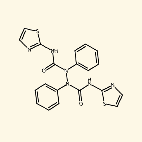 O=C(Nc1nccs1)N(c1ccccc1)N(C(=O)Nc1nccs1)c1ccccc1